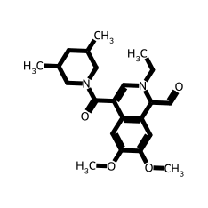 CCN1C=C(C(=O)N2CC(C)CC(C)C2)c2cc(OC)c(OC)cc2C1C=O